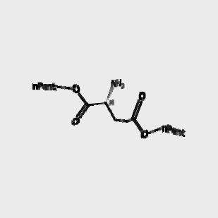 CCCCCOC(=O)C[C@@H](N)C(=O)OCCCCC